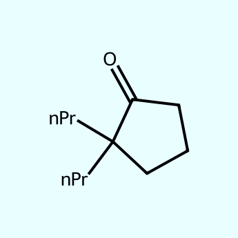 CCCC1(CCC)CCCC1=O